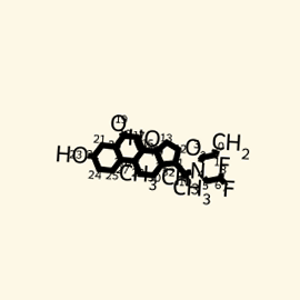 C=CC(=O)N(CC(F)F)C(C)C1CC[C@@]2(O)C3=CC(=O)C4CC(O)CCC4(C)C3CCC12C